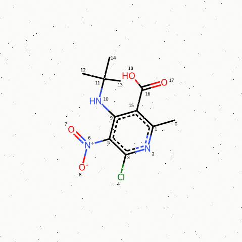 Cc1nc(Cl)c([N+](=O)[O-])c(NC(C)(C)C)c1C(=O)O